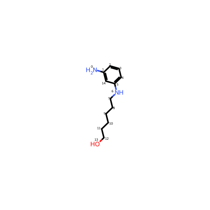 Nc1cccc(NCCCCCCO)c1